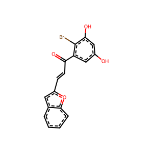 O=C(/C=C/c1cc2ccccc2o1)c1cc(O)cc(O)c1Br